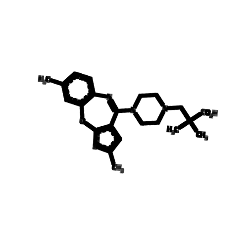 Cc1ccc2c(c1)Oc1sc(C)cc1C(N1CCN(CC(C)(C)C(=O)O)CC1)=N2